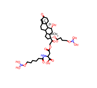 C[C@]12CCC(=O)C=C1CCC1C3CC[C@](OC(=O)CCCON(O)O)(C(=O)COC(=O)CC(NC(=O)CCCCCON(O)O)C(=O)O)[C@@]3(C)C[C@H](O)[C@@H]12